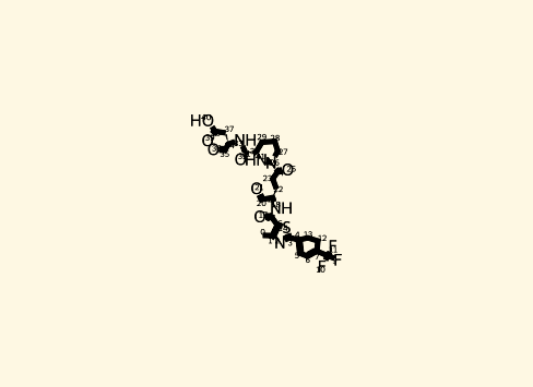 Cc1nc(C2=CC=C(C(F)(F)F)CC2)sc1C(=O)N[C@H](C=O)CCC(=O)N1CCC[C@@H](C(=O)N[C@H](C=O)CC(=O)O)N1